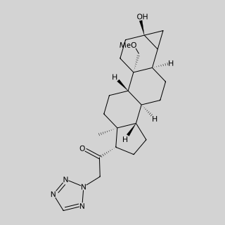 COC[C@]12CC[C@]3(O)CC3[C@H]1CC[C@H]1[C@@H]3CC[C@H](C(=O)Cn4ncnn4)[C@@]3(C)CC[C@@H]12